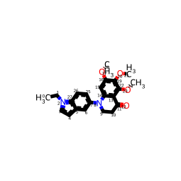 CCn1ccc2cc(N3CCC(=O)c4c3cc(OC)c(OC)c4OC)ccc21